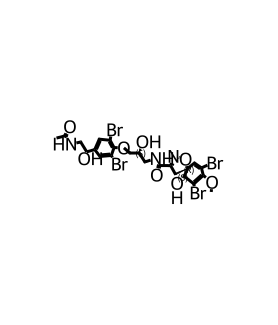 COC1=C(Br)[C@@H](O)[C@]2(C=C1Br)CC(C(=O)NC[C@H](O)COc1c(Br)cc(C(O)CNC(C)=O)cc1Br)=NO2